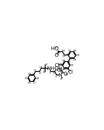 CN(CC(O)CNC(C)(C)CCCc1ccccc1)S(=O)(=O)c1c(Cl)cc(-c2ccccc2CCC(=O)O)cc1Cl